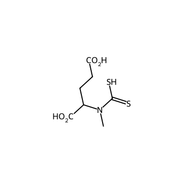 CN(C(=S)S)C(CCC(=O)O)C(=O)O